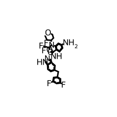 Nc1ccc(C(=O)Nc2n[nH]c3ccc(Cc4cc(F)cc(F)c4)cc23)c(N(C(=O)C(F)(F)F)C2CCOCC2)c1